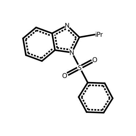 CC(C)c1nc2ccccc2n1S(=O)(=O)c1ccccc1